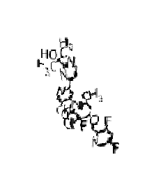 CC1=CC(OCc2ncc(F)cc2F)C(F)(Cl)C(=O)N1c1cc(-c2ccnc(C(C)(C)O)n2)ncc1C